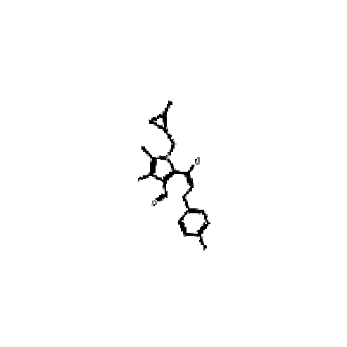 Cc1c(C=O)c(/C(Cl)=C\Cc2ccc(F)cc2)n(CC2CC2C)c1C